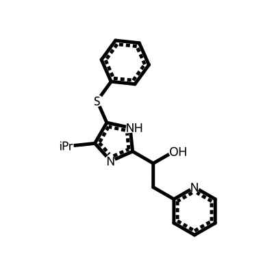 CC(C)c1nc(C(O)Cc2ccccn2)[nH]c1Sc1ccccc1